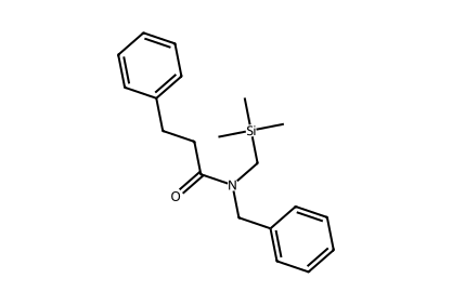 C[Si](C)(C)CN(Cc1ccccc1)C(=O)CCc1ccccc1